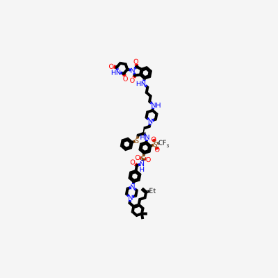 C=C(CC)CCC1=C(CN2CCN(c3ccc(C(=O)NS(=O)(=O)c4ccc(N[C@H](CCN5CCC(NCCCCNc6cccc7c6C(=O)N(C6CCC(=O)NC6=O)C7=O)CC5)CSc5ccccc5)c(S(=O)(=O)C(F)(F)F)c4)cc3)CC2)CCC(C)(C)C1